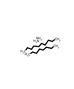 CCCCCCCC.CCCCCCCCCC.N.N